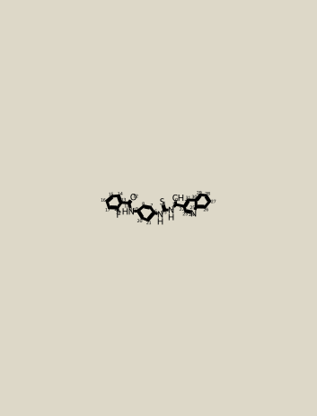 CC(NC(=S)Nc1ccc(NC(=O)c2ccccc2F)cc1)c1cnc2ccccc2c1